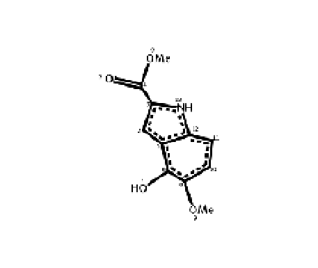 COC(=O)c1cc2c(O)c(OC)ccc2[nH]1